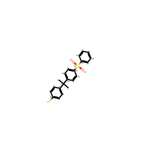 CC(C)(c1ccc(F)cc1)c1ccc(S(=O)(=O)c2ccccc2)cc1